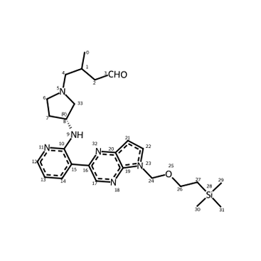 CC(CC=O)CN1CC[C@@H](Nc2ncccc2-c2cnc3c(ccn3COCC[Si](C)(C)C)n2)C1